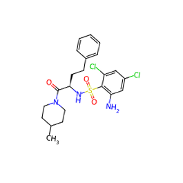 CC1CCN(C(=O)[C@@H](CCc2ccccc2)NS(=O)(=O)c2c(N)cc(Cl)cc2Cl)CC1